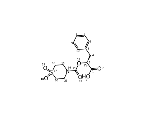 O=C(O)[C@H](Cc1ccccc1)OC(=O)N1CCS(=O)(=O)CC1